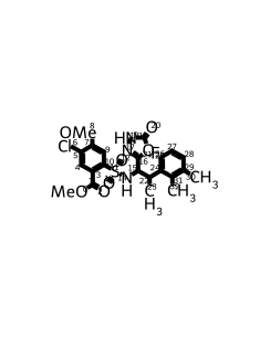 COC(=O)c1cc(Cl)c(OC)cc1S(=O)(=O)NC(c1n[nH]c(=O)o1)C(C)c1c(F)ccc(C)c1C